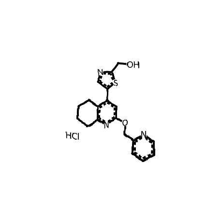 Cl.OCc1ncc(-c2cc(OCc3ccccn3)nc3c2CCCC3)s1